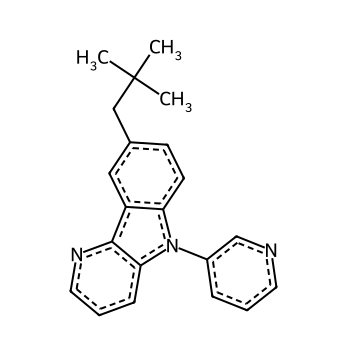 CC(C)(C)Cc1ccc2c(c1)c1ncccc1n2-c1cccnc1